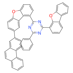 c1ccc(-c2nc(-c3cccc4c3oc3ccccc34)nc(-c3cccc4oc5ccc(-c6ccc7c(ccc8ccccc87)c6)cc5c34)n2)cc1